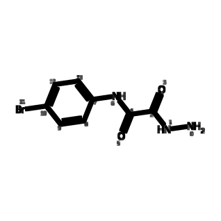 NNC(=O)C(=O)Nc1ccc(Br)cc1